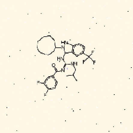 CC(C)CN/C(=N/C(=O)c1ccc(F)c(F)c1)NC1c2cc(C(F)(F)F)ccc2NN1C1CCCCCCCC1